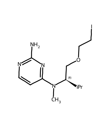 CC(C)[C@H](COCCI)N(C)c1ccnc(N)n1